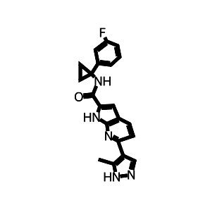 Cc1[nH]ncc1-c1ccc2cc(C(=O)NC3(c4cccc(F)c4)CC3)[nH]c2n1